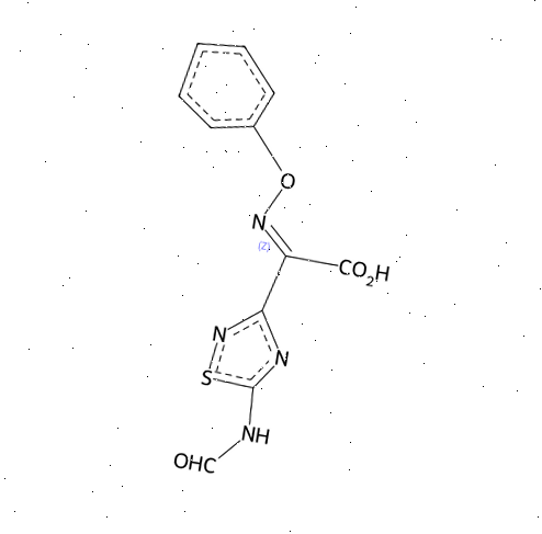 O=CNc1nc(/C(=N/Oc2ccccc2)C(=O)O)ns1